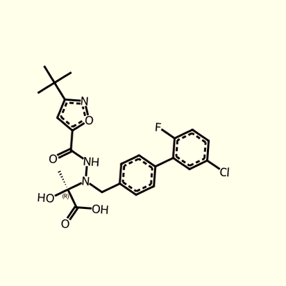 CC(C)(C)c1cc(C(=O)NN(Cc2ccc(-c3cc(Cl)ccc3F)cc2)[C@](C)(O)C(=O)O)on1